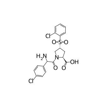 NC(C(=O)N1C[C@H](S(=O)(=O)c2ccccc2Cl)C[C@H]1C(=O)O)c1ccc(Cl)cc1